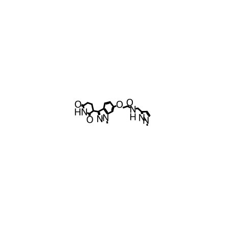 Cn1ccc(CNC(=O)COc2ccc3c(C4CCC(=O)NC4=O)nn(C)c3c2)n1